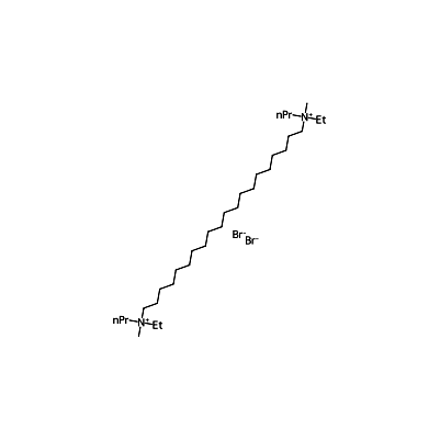 CCC[N+](C)(CC)CCCCCCCCCCCCCCCCCCCC[N+](C)(CC)CCC.[Br-].[Br-]